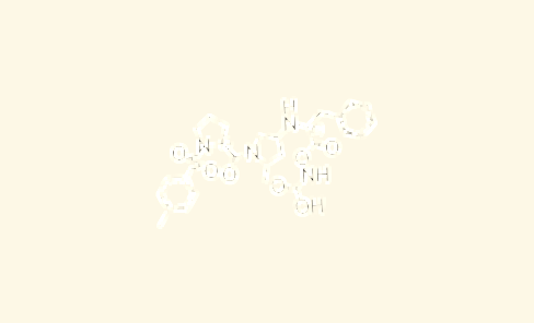 Cc1ccc(S(=O)(=O)N2CCC[C@H]2C(=O)N2CC(N[C@@H](Cc3ccccc3)C(=O)ONC(=O)O)CC2C)cc1